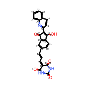 O=C1NC(=O)C(=C/C=C/c2ccc3c(c2)C(=O)C(c2ccc4ccccc4n2)=C3O)C(=O)N1